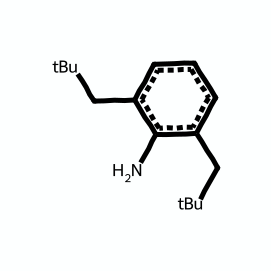 CC(C)(C)Cc1cccc(CC(C)(C)C)c1N